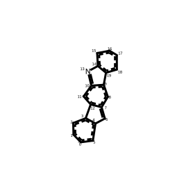 [c]1ccc2c(c1)C=c1cc3c(cc1-2)=Nc1ccccc1-3